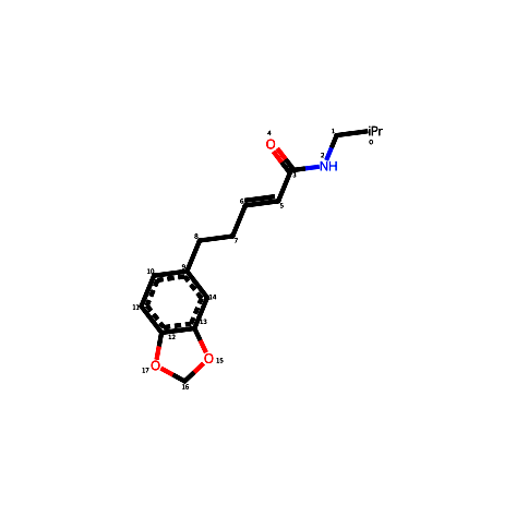 CC(C)CNC(=O)/C=C/CCc1ccc2c(c1)OCO2